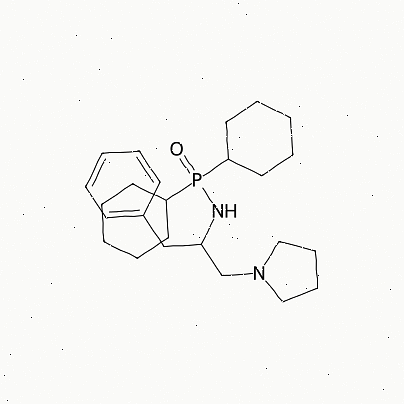 O=P(NC(Cc1ccccc1)CN1CCCC1)(C1CCCCC1)C1CCCCC1